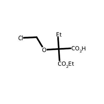 CCOC(=O)C(CC)(OCCl)C(=O)O